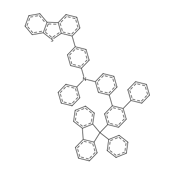 c1ccc(-c2ccc(C3(c4ccccc4)c4ccccc4-c4ccccc43)cc2-c2cccc(N(c3ccccc3)c3ccc(-c4cccc5c4sc4ccccc45)cc3)c2)cc1